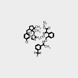 CC1(C)CCC(Cc2ccc(Cl)cc2)C1(O)Cn1cncn1.CO/N=C(/C(=O)OC)c1ccccc1CO/N=C(\C)c1cccc(C(F)(F)F)c1